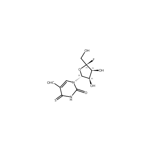 O=Cc1cn([C@@H]2O[C@](F)(CO)[C@@H](O)[C@H]2O)c(=O)[nH]c1=S